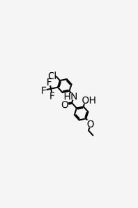 CCOc1ccc(C(=O)Nc2ccc(Cl)c(C(F)(F)F)c2)c(O)c1